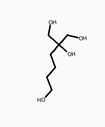 OCCCCC(O)(CO)CO